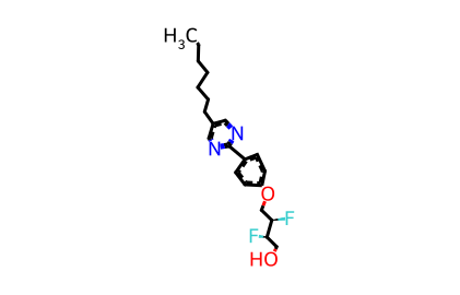 CCCCCCCc1cnc(-c2ccc(OC[C@@H](F)[C@H](F)CO)cc2)nc1